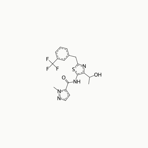 CC(O)c1nc(Cc2cccc(C(F)(F)F)c2)sc1NC(=O)c1ccnn1C